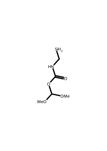 COC(OC)OC(=O)NC[SiH3]